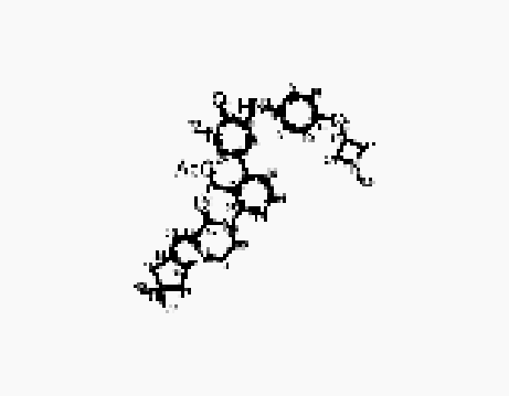 CC(=O)OCc1c(-c2cc(Nc3ccc(OC4CN(C)C4)cc3)c(=O)n(C)c2)ccnc1N1CCn2c(cc3c2CC(C)(C)C3)C1=O